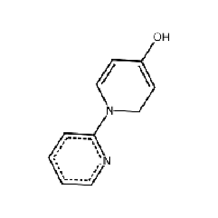 OC1=CCN(c2ccccn2)C=C1